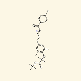 Cc1cc(CC/C=C/C(=O)c2ccc(F)cc2)cc(C)c1OC(C)(C)C(=O)OC(C)(C)C